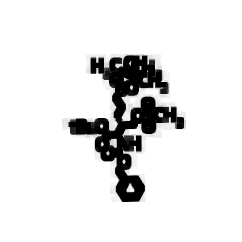 CC(C)(C)OC(=O)[C@@H](NC(=O)OCc1ccccc1)[C@H](CCCB1OC(C)(C)C(C)(C)O1)COS(C)(=O)=O